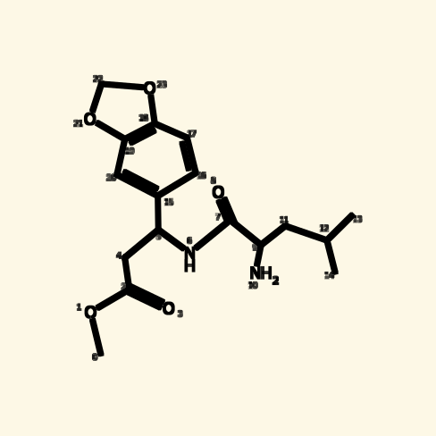 COC(=O)CC(NC(=O)C(N)CC(C)C)c1ccc2c(c1)OCO2